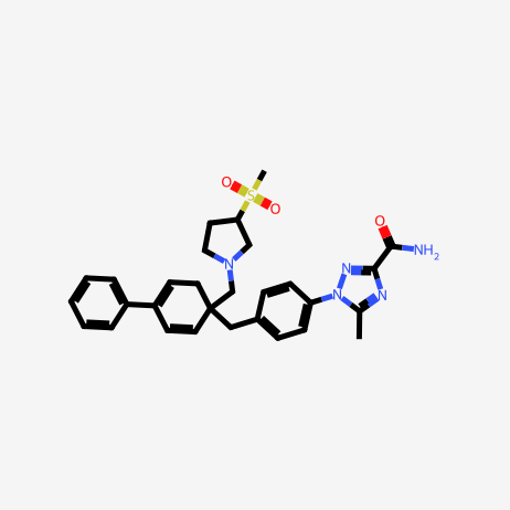 Cc1nc(C(N)=O)nn1-c1ccc(CC2(CN3CCC(S(C)(=O)=O)C3)C=CC(c3ccccc3)=CC2)cc1